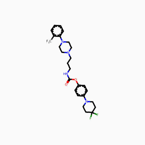 O=C(NCCCN1CCN(c2ccccc2C(F)(F)F)CC1)Oc1ccc(N2CCC(F)(F)CC2)cc1